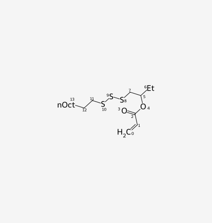 C=CC(=O)OC(CC)CSSSCCCCCCCCCC